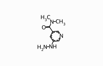 CN(C)C(=O)c1cncc(NN)c1